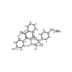 CCCCOc1ccc(S(=O)(=O)N(C)C(C)c2nc3ccccc3c(=O)n2-c2ccc(C)cc2C)cc1